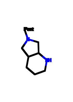 CCCC(C)N1CC2CCCNC2C1